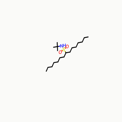 CCCCCCCC(CCCCCCC)S(=O)(=O)NC(C)(C)C